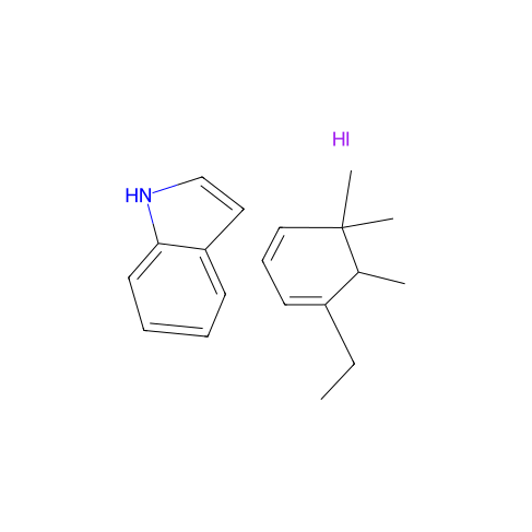 CCC1=CC=CC(C)(C)C1C.I.c1ccc2[nH]ccc2c1